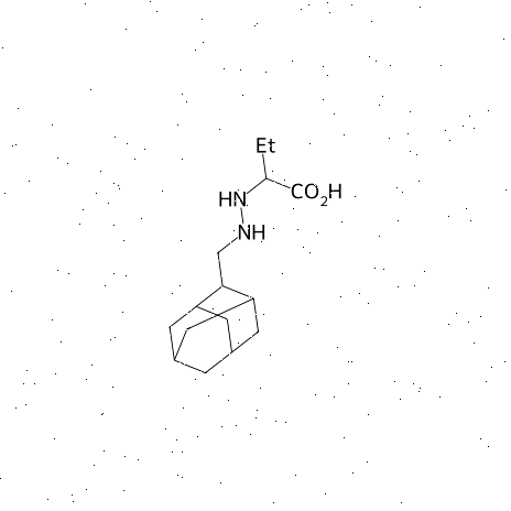 CCC(NNCC1C2CC3CC(C2)CC1C3)C(=O)O